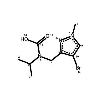 CC(C)N(Cc1nn(C)cc1Br)C(=O)O